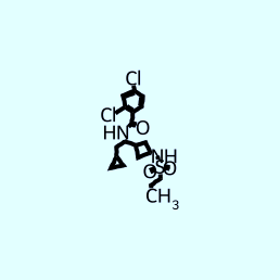 CCCS(=O)(=O)NC1CC(C(CC2CC2)NC(=O)c2ccc(Cl)cc2Cl)C1